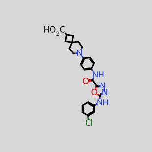 O=C(Nc1ccc(N2CCC3(CC2)CC(C(=O)O)C3)cc1)c1nnc(Nc2cccc(Cl)c2)o1